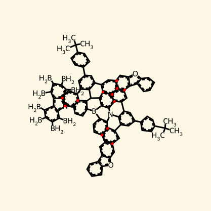 Bc1c(B)c(B)c2c(c1B)c1c(B)c(B)c(B)c(B)c1n2-c1ccc2c(c1)C(c1c(-c3ccccc3)cc(-c3ccc(C(C)(C)C)cc3)cc1-c1ccccc1)c1cc(-c3ccc4oc5ccccc5c4c3)cc3c1B2c1ccc(-c2ccc4oc5ccccc5c4c2)cc1N3c1c(-c2ccccc2)cc(-c2ccc(C(C)(C)C)cc2)cc1-c1ccccc1